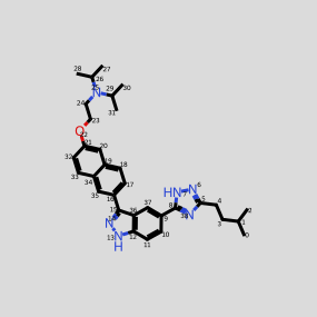 CC(C)CCc1n[nH]c(-c2ccc3[nH]nc(-c4ccc5cc(OCCN(C(C)C)C(C)C)ccc5c4)c3c2)n1